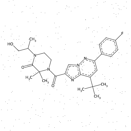 CC(CO)N1CCN(C(=O)c2cn3nc(-c4ccc(F)cc4)cc(C(C)(C)C)c3n2)C(C)(C)C1=O